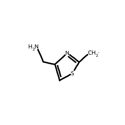 [CH2]c1nc(CN)cs1